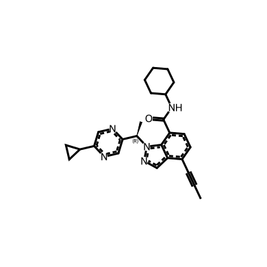 CC#Cc1ccc(C(=O)NC2CCCCC2)c2c1cnn2[C@H](C)c1cnc(C2CC2)cn1